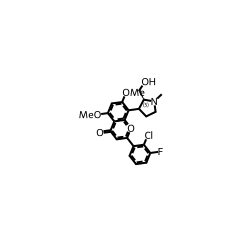 COc1cc(OC)c2c(=O)cc(-c3cccc(F)c3Cl)oc2c1C1CCN(C)[C@@H]1CO